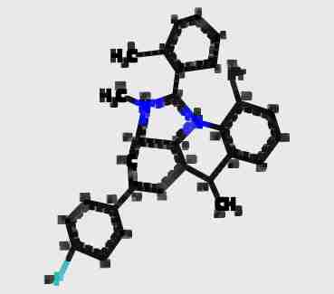 Cc1ccccc1-c1n2c3c(cc(-c4ccc(F)cc4)cc3[n+]1C)C(C)c1cccc(C(C)C)c1-2